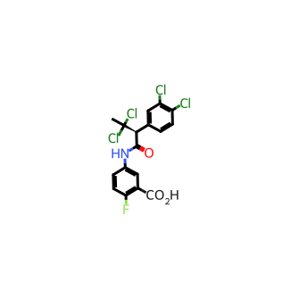 CC(Cl)(Cl)[C@H](C(=O)Nc1ccc(F)c(C(=O)O)c1)c1ccc(Cl)c(Cl)c1